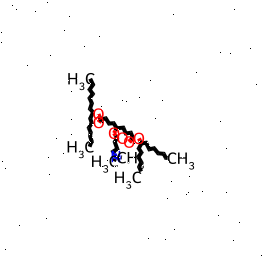 CCCCCCCC(CCCCCCC)OC(=O)CCCC(CCCC(=O)OC(CCCCCCC)CCCCCCC)OC(=O)CCCN(C)C